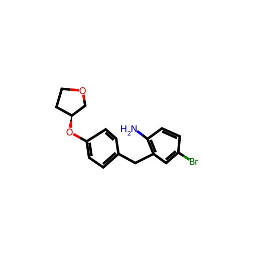 Nc1ccc(Br)cc1Cc1ccc(O[C@H]2CCOC2)cc1